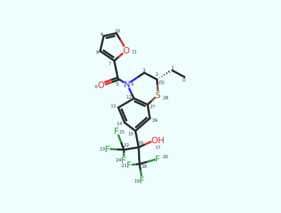 CC[C@H]1CN(C(=O)c2ccco2)c2ccc(C(O)(C(F)(F)F)C(F)(F)F)cc2S1